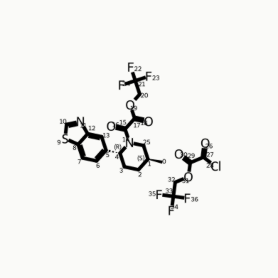 C[C@H]1CC[C@H](c2ccc3scnc3c2)N(C(=O)C(=O)OCC(F)(F)F)C1.O=C(Cl)C(=O)OCC(F)(F)F